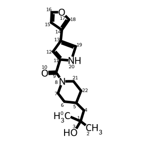 CC(C)(O)CC1CCN(C(=O)c2cc(-c3ccoc3)c[nH]2)CC1